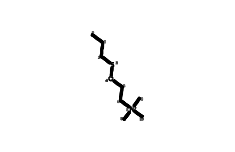 CCCSOCC[N+](C)(C)C